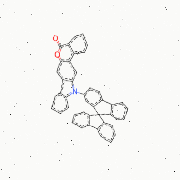 O=c1oc2cc3c4ccccc4n(-c4ccc5c(c4)C4(c6ccccc6-c6ccccc64)c4ccccc4-5)c3cc2c2ccccc12